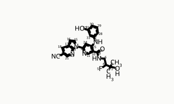 CC(C)(O)C(F)CNC(=O)c1cnc(-n2ccc3cc(C#N)cnc32)cc1Nc1cccc(O)c1